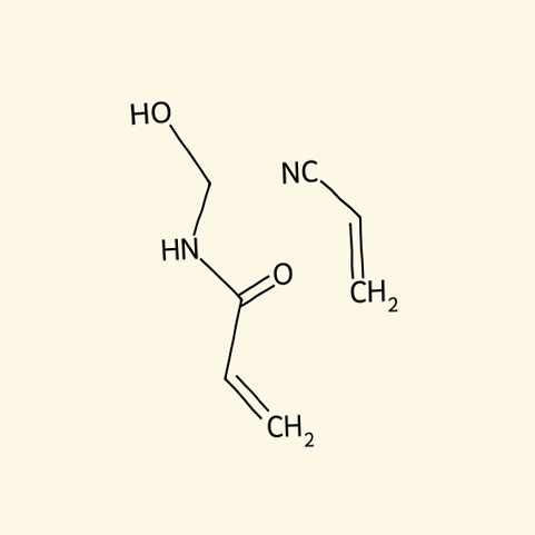 C=CC#N.C=CC(=O)NCO